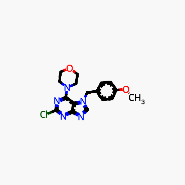 COc1ccc(Cn2cnc3nc(Cl)nc(N4CCOCC4)c32)cc1